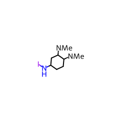 CNC1CCC(NI)CC1NC